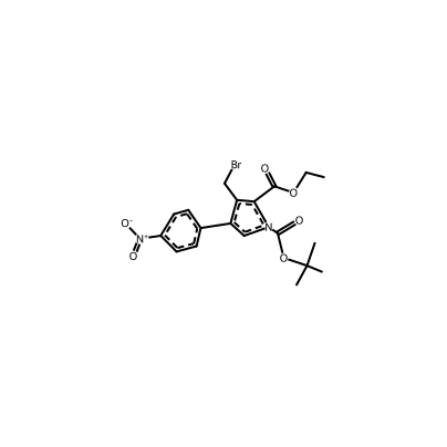 CCOC(=O)c1c(CBr)c(-c2ccc([N+](=O)[O-])cc2)cn1C(=O)OC(C)(C)C